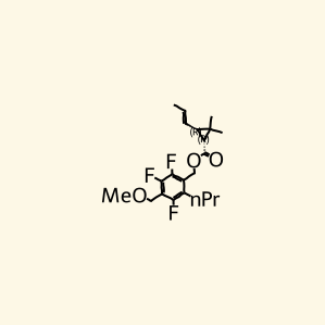 CC=C[C@@H]1[C@@H](C(=O)OCc2c(F)c(F)c(COC)c(F)c2CCC)C1(C)C